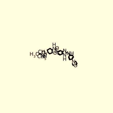 CC(C)(C)c1nnc([C@H]2CC[C@H](NS(=O)(=O)c3ccc4[nH]c(Nc5ccc(N6CCOCC6)cc5)nc4c3)CC2)o1